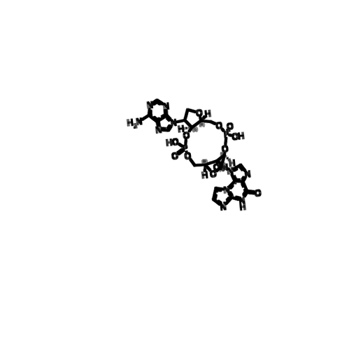 Nc1ncnc2c1ncn2C1CO[C@@H]2COP(=O)(O)O[C@@H]3[C@H](O)[C@@H](COP(=O)(O)O[C@@H]12)O[C@H]3n1cnc2c(=O)[nH]c3nccn3c21